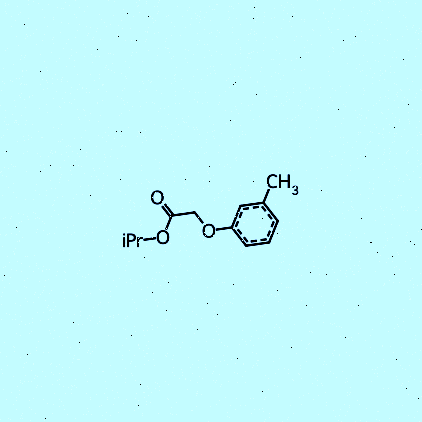 Cc1cccc(OCC(=O)OC(C)C)c1